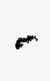 Nc1ncc(-c2ccc(C[C@@H](N)CC(=O)N3CCC[C@@H](c4nc5ccccc5n4CCF)C3)cc2)cn1